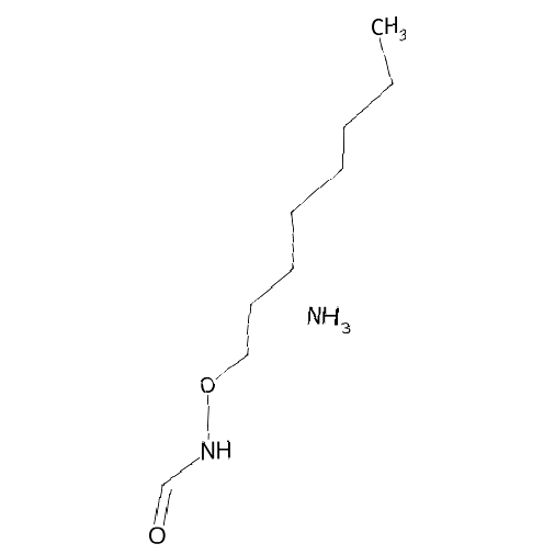 CCCCCCCCONC=O.N